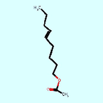 CCCC=CCCCCOC(C)=O